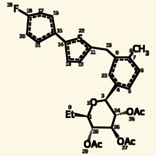 CC[C@H]1O[C@@H](c2ccc(C)c(Cc3ccc(-c4ccc(F)cc4)s3)c2)[C@H](OC(C)=O)[C@@H](OC(C)=O)[C@@H]1OC(C)=O